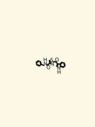 O=C(NCc1ccccc1)c1csc(C(=O)c2c[nH]c3ccccc23)n1